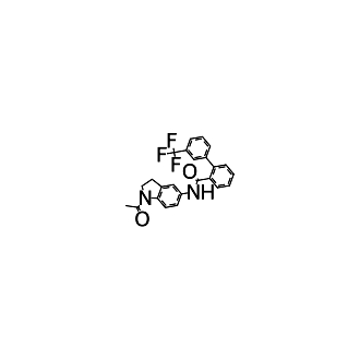 CC(=O)N1CCc2cc(NC(=O)c3ccccc3-c3cccc(C(F)(F)F)c3)ccc21